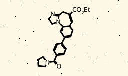 CCOC(=O)C1=CC2CC=C(c3ccc(C(=O)N4CCCC4)cc3)C=C2N2CCN=C2C1